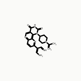 C=C(C)N1CCC(n2c(=O)[nH]c(=O)c3cnc4ccc(/C(C=N)=C/N)nc4c32)CC1